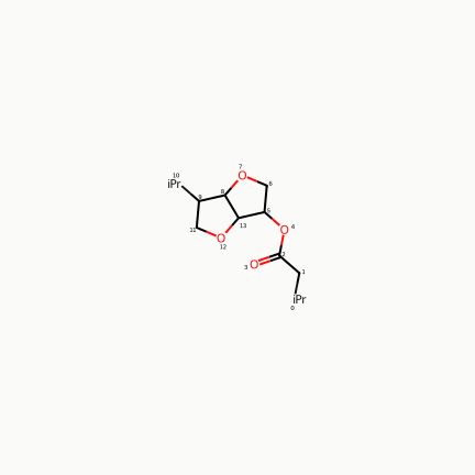 CC(C)CC(=O)OC1COC2C(C(C)C)COC12